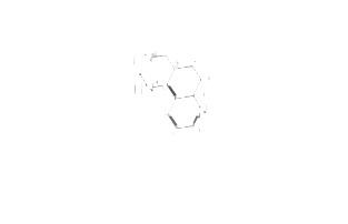 C1=CC2=C3NCNCC3CCC2N=C1